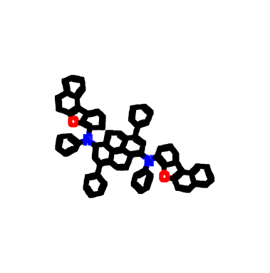 c1ccc(-c2cc(N(c3ccccc3)c3cccc4c3oc3ccc5ccccc5c34)c3ccc4c(-c5ccccc5)cc(N(c5ccccc5)c5cccc6c5oc5ccc7ccccc7c56)c5ccc2c3c45)cc1